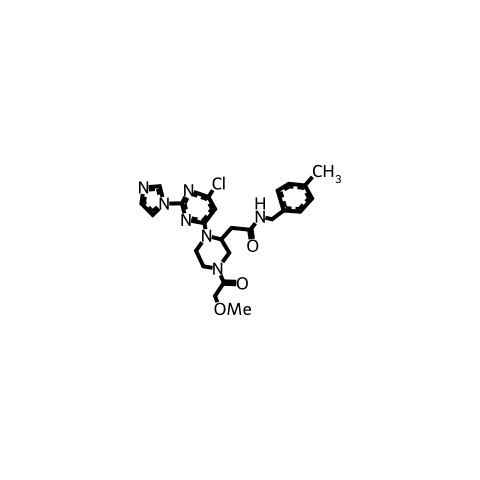 COCC(=O)N1CCN(c2cc(Cl)nc(-n3ccnc3)n2)C(CC(=O)NCc2ccc(C)cc2)C1